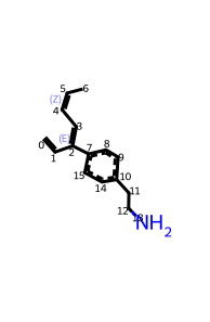 C=C/C(=C\C=C/C)c1ccc(CCN)cc1